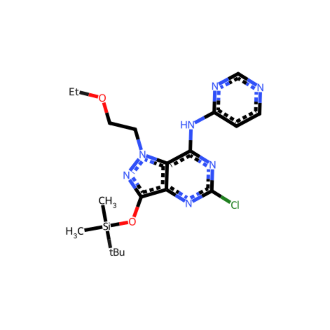 CCOCCn1nc(O[Si](C)(C)C(C)(C)C)c2nc(Cl)nc(Nc3ccncn3)c21